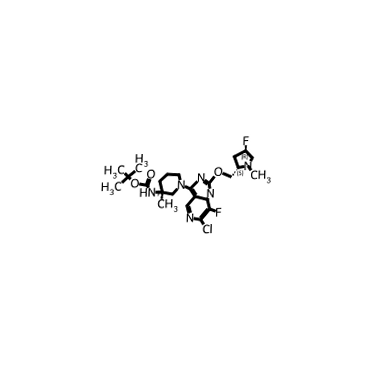 CN1C[C@H](F)C[C@H]1COc1nc(N2CCC[C@@](C)(NC(=O)OC(C)(C)C)C2)c2cnc(Cl)c(F)c2n1